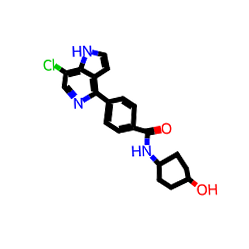 O=C(NC1CCC(O)CC1)c1ccc(-c2ncc(Cl)c3[nH]ccc23)cc1